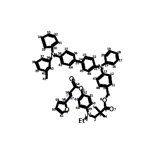 CCN(CC(C)(C)C(=O)OCc1ccc(N(c2ccccc2)c2ccc(-c3ccc(N(c4ccccc4)c4cccc(C)c4)cc3)cc2)cc1)c1ccc(OC(=O)/C=C/c2ccco2)cc1